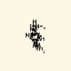 Nc1nc2c(ncn2[C@@H]2S[C@@H]3COP(=O)(S)O[C@H]4[C@H](F)[C@H](n5cnc6c(N)ncnc65)O[C@@H]4COP(=O)(S)O[C@@H]2[C@@H]3F)c(=O)[nH]1